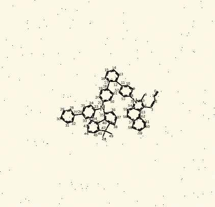 C=C/C=C\c1c(C)n(-c2ccc(-c3ccccc3-c3ccc(N(c4ccc(-c5ccccc5)cc4)c4cccc5c4-c4ccccc4C5(C)C)cc3)cc2)c2ccc3ccccc3c12